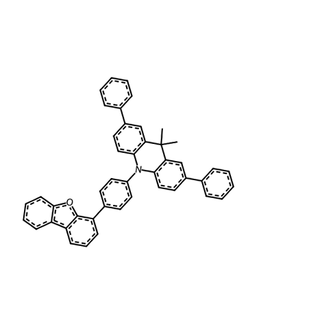 CC1(C)c2cc(-c3ccccc3)ccc2N(c2ccc(-c3cccc4c3oc3ccccc34)cc2)c2ccc(-c3ccccc3)cc21